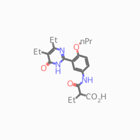 CCCOc1ccc(NC(=O)C(CC)C(=O)O)cc1-c1nc(CC)c(CC)c(=O)[nH]1